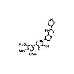 COc1cc(C(=O)NC(=N)Nc2cccc(NC(=O)c3ccncc3)c2)cc(OC)c1OC